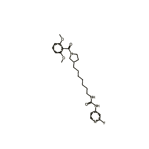 COc1cccc(OC)c1C(=O)N1CCC(CCCCCCCNC(=O)Nc2ccnc(F)c2)C1